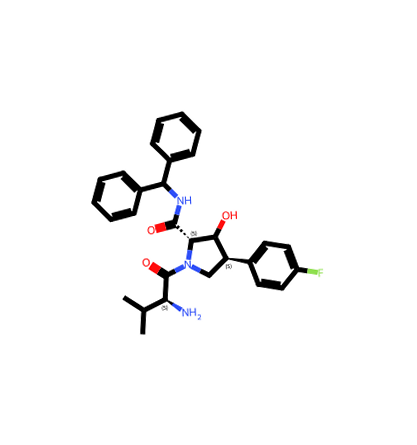 CC(C)[C@H](N)C(=O)N1C[C@H](c2ccc(F)cc2)C(O)[C@H]1C(=O)NC(c1ccccc1)c1ccccc1